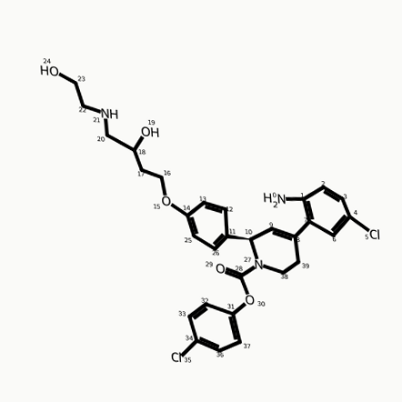 Nc1ccc(Cl)cc1C1=C[C@H](c2ccc(OCCC(O)CNCCO)cc2)N(C(=O)Oc2ccc(Cl)cc2)CC1